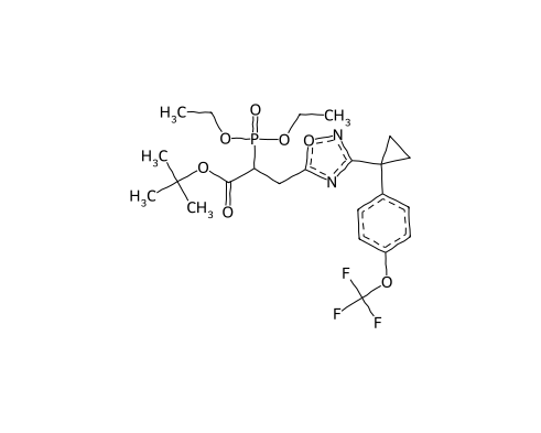 CCOP(=O)(OCC)C(Cc1nc(C2(c3ccc(OC(F)(F)F)cc3)CC2)no1)C(=O)OC(C)(C)C